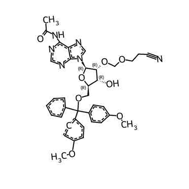 COc1ccc(C(OC[C@H]2O[C@@H](n3cnc4c(NC(C)=O)ncnc43)[C@H](OCOCCC#N)[C@@H]2O)(c2ccccc2)c2ccc(OC)cc2)cc1